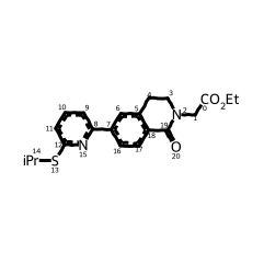 CCOC(=O)CN1CCc2cc(-c3cccc(SC(C)C)n3)ccc2C1=O